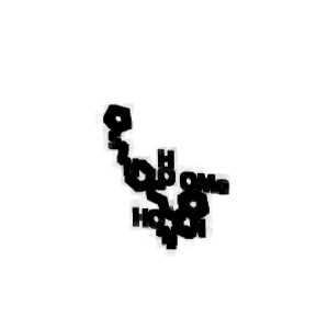 COc1ccc2ncc(N(C)C)c([C@H](O)CCC3(CO)CCN(CCSC4CCCC4)CC3)c2c1